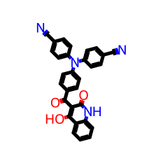 N#Cc1ccc(N(c2ccc(C#N)cc2)c2ccc(C(=O)c3c(O)c4ccccc4[nH]c3=O)cc2)cc1